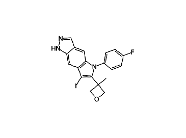 CC1(c2c(I)c3cc4[nH]ncc4cc3n2-c2ccc(F)cc2)COC1